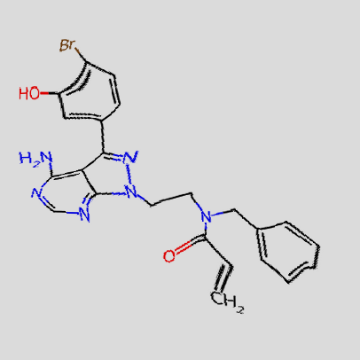 C=CC(=O)N(CCn1nc(-c2ccc(Br)c(O)c2)c2c(N)ncnc21)Cc1ccccc1